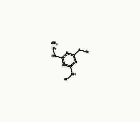 CCSc1nc(NC(C)C)nc(NC(C)C)n1.[AlH3]